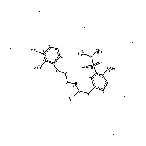 COc1ccc(CC(C)NCCOc2cccc(F)c2OC)cc1S(=O)(=O)N(C)C